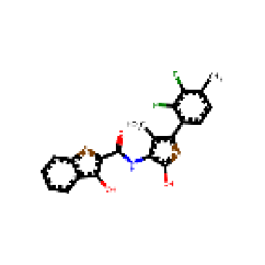 Cc1ccc(-c2sc(O)c(NC(=O)c3sc4ccccc4c3O)c2C(=O)O)c(F)c1F